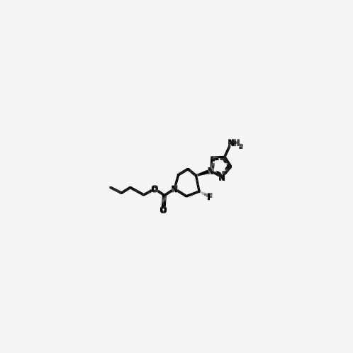 CCCCOC(=O)N1CC[C@@H](n2cc(N)cn2)[C@H](F)C1